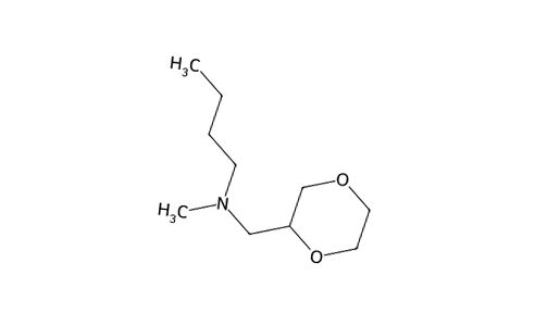 CCCCN(C)CC1COCCO1